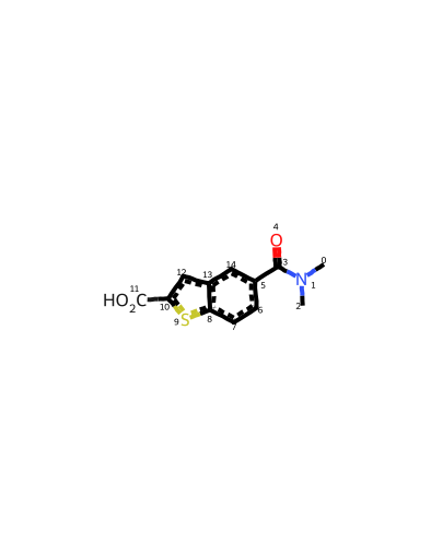 CN(C)C(=O)c1ccc2sc(C(=O)O)cc2c1